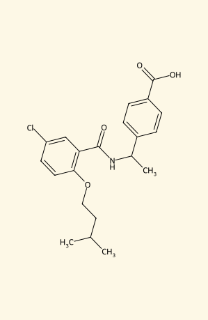 CC(C)CCOc1ccc(Cl)cc1C(=O)NC(C)c1ccc(C(=O)O)cc1